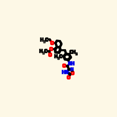 CCO[C@H]1CCCc2c(Cc3c(C)cc(NC(=O)c4noc(=O)[nH]4)cc3C)ccc(OC(C)=O)c21